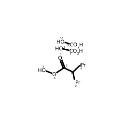 CC(C)C(C(=O)OO)C(C)C.O=C(O)O.O=C(O)O